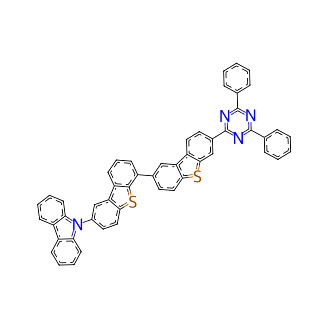 c1ccc(-c2nc(-c3ccccc3)nc(-c3ccc4c(c3)sc3ccc(-c5cccc6c5sc5ccc(-n7c8ccccc8c8ccccc87)cc56)cc34)n2)cc1